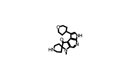 CN1c2cnc3[nH]cc(C4CCOCC4)c3c2C(=O)C12CCNCC2